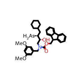 COc1cc(CN(C[C@@H](O)[C@@H]([AsH2])CC2CCCCC2)C(=O)OCC2c3ccccc3-c3ccccc32)cc(OC)c1